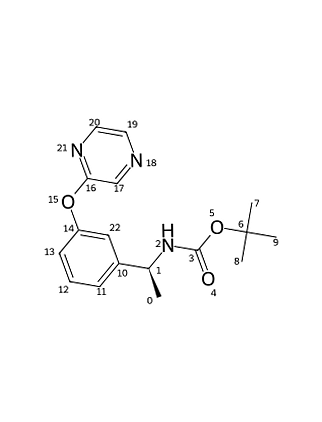 C[C@H](NC(=O)OC(C)(C)C)c1cccc(Oc2cnccn2)c1